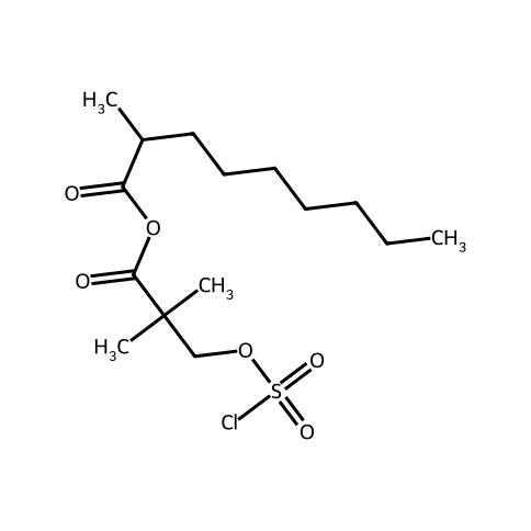 CCCCCCCC(C)C(=O)OC(=O)C(C)(C)COS(=O)(=O)Cl